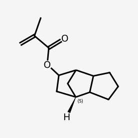 C=C(C)C(=O)OC1C[C@@H]2CC1C1CCCC12